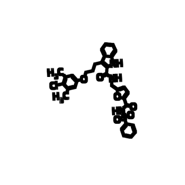 Cc1cc(OCCCc2c(C(=O)NCc3ccc(C(=O)NS(=O)(=O)c4ccccc4)o3)[nH]c3ccccc23)cc(C)c1Cl